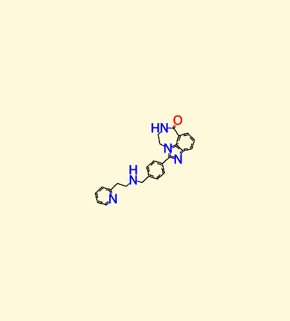 O=C1NCCn2c(-c3ccc(CNCCc4ccccn4)cc3)nc3cccc1c32